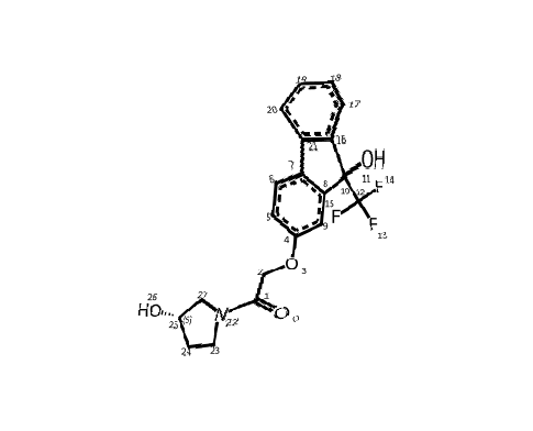 O=C(COc1ccc2c(c1)C(O)(C(F)(F)F)c1ccccc1-2)N1CC[C@H](O)C1